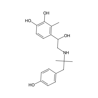 Cc1c(C(O)CNC(C)(C)Cc2ccc(O)cc2)ccc(O)c1O